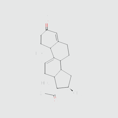 CCC(=O)[C@H]1[C@H](C)CC2C3CCC4=CC(=O)CC[C@]4(C)C3=CC[C@@]21C